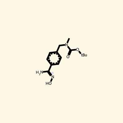 CN(Cc1ccc(/C(N)=N/O)cc1)C(=O)OC(C)(C)C